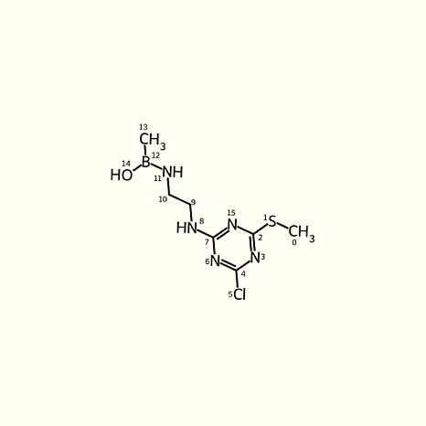 CSc1nc(Cl)nc(NCCNB(C)O)n1